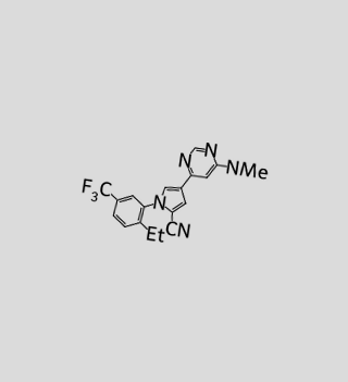 CCc1ccc(C(F)(F)F)cc1-n1cc(-c2cc(NC)ncn2)cc1C#N